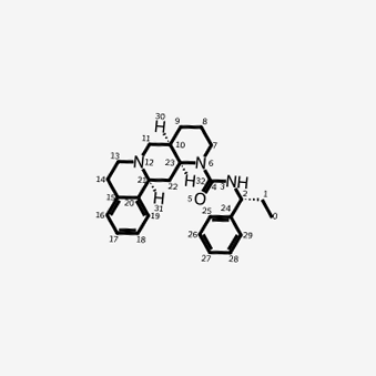 CC[C@@H](NC(=O)N1CCC[C@@H]2CN3CCc4ccccc4[C@@H]3C[C@@H]21)c1ccccc1